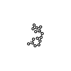 c1ccc(-c2cc(-c3cccc(-c4cccc(-c5ccc6c7ccc(-c8cccc(-c9cc(-c%10ccccc%10-c%10ccc%11c%12ccccc%12c%12ccccc%12c%11c%10)nc(-c%10ccccc%10)n9)c8)cc7c7ccccc7c6c5)c4)c3)cc(-c3ccccc3)n2)cc1